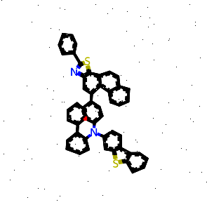 c1ccc(-c2nc3cc(-c4ccc(N(c5ccc6c(c5)sc5ccccc56)c5ccccc5-c5ccccc5)cc4)c4c5ccccc5ccc4c3s2)cc1